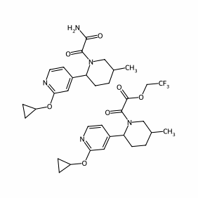 CC1CCC(c2ccnc(OC3CC3)c2)N(C(=O)C(=O)OCC(F)(F)F)C1.CC1CCC(c2ccnc(OC3CC3)c2)N(C(=O)C(N)=O)C1